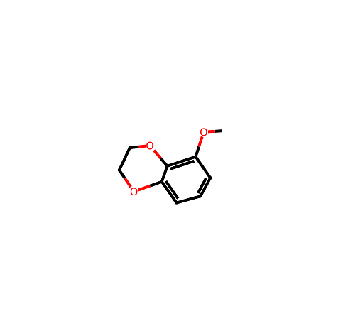 COc1cccc2c1OC[CH]O2